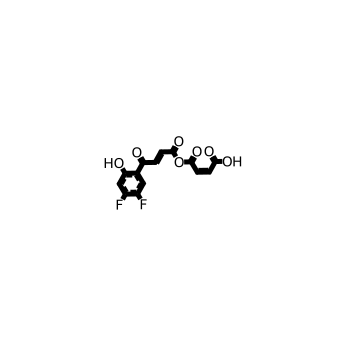 O=C(O)/C=C\C(=O)OC(=O)/C=C/C(=O)c1cc(F)c(F)cc1O